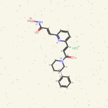 Cl.O=C(C=Cc1cccc(C=CC(=O)N2CCC[C@@H](c3ccccc3)C2)n1)NO